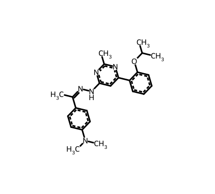 CC(=NNc1cc(-c2ccccc2OC(C)C)nc(C)n1)c1ccc(N(C)C)cc1